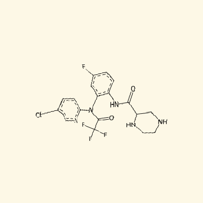 O=C(Nc1ccc(F)cc1N(C(=O)C(F)(F)F)c1ccc(Cl)cn1)C1CNCCN1